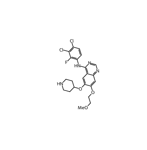 COCCOc1cc2ncnc(Nc3ccc(Cl)c(Cl)c3F)c2cc1OC1CCNCC1